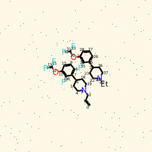 C=CCN1CCC(c2cccc(OC(F)F)c2F)CC1.CCN1CCC(c2cccc(OC(F)F)c2F)CC1